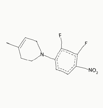 CC1=CCN(c2ccc([N+](=O)[O-])c(F)c2F)CC1